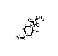 CC[C@H]1CN(C[C](C)C)CCN1S(C)(=O)=O